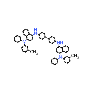 Cc1cccc(N(c2ccccc2)c2ccc(Nc3ccc(-c4ccc(Nc5ccc(N(c6ccccc6)c6cccc(C)c6)c6ccccc56)cc4)cc3)c3ccccc23)c1